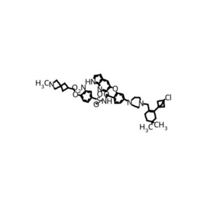 CN1CC2(CC(COc3ccc(S(=O)(=O)NC(=O)c4ccc(N5CCN(CC6=C(C78CC(Cl)(C7)C8)CC(C)(C)CC6)CC5)cc4Oc4cnc5[nH]ccc5c4)cc3[N+](=O)[O-])C2)C1